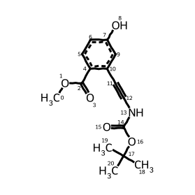 COC(=O)c1ccc(O)cc1C#CNC(=O)OC(C)(C)C